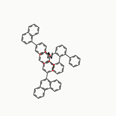 c1ccc(-c2ccccc2-c2c(-c3ccccc3)cccc2N(c2ccc(-c3cccc4ccccc34)cc2)c2ccc(-c3cc4ccccc4c4ccccc34)cc2)cc1